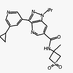 CC(C)n1nc(-c2cncc(C3CC3)c2)c2ncc(C(=O)NC3(C)CS(=O)(=O)C3)cc21